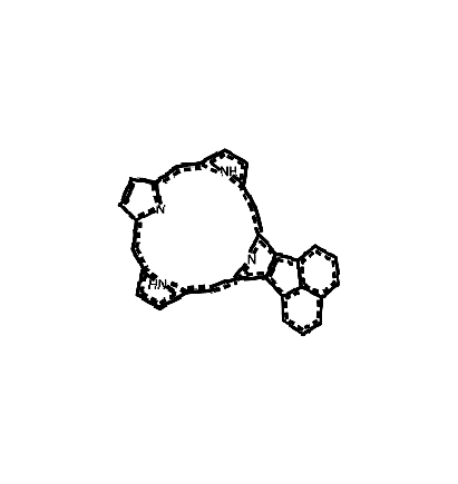 C1=Cc2cc3ccc(cc4nc(cc5ccc(cc1n2)[nH]5)c1c2cccc5cccc(c4=1)c52)[nH]3